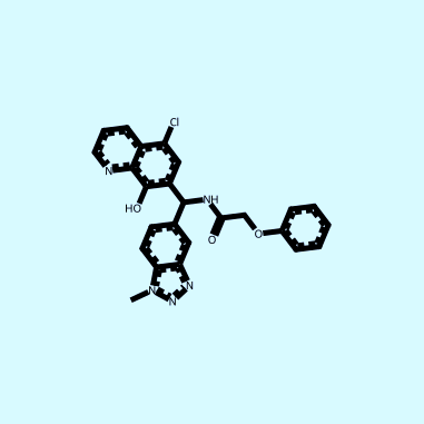 Cn1nnc2cc(C(NC(=O)COc3ccccc3)c3cc(Cl)c4cccnc4c3O)ccc21